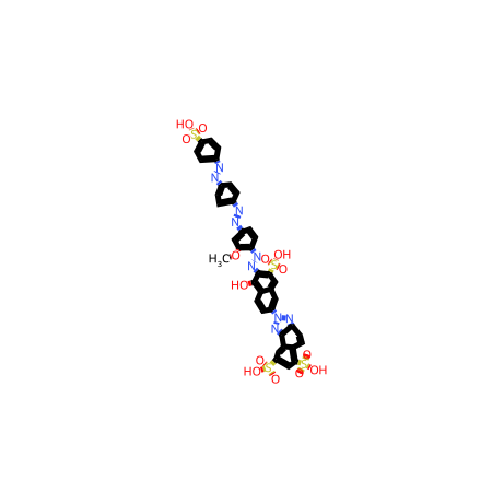 COc1cc(N=Nc2ccc(N=Nc3ccc(S(=O)(=O)O)cc3)cc2)ccc1N=Nc1c(S(=O)(=O)O)cc2cc(-n3nc4ccc5c(S(=O)(=O)O)cc(S(=O)(=O)O)cc5c4n3)ccc2c1O